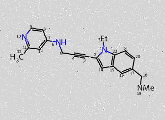 CCn1c(C#CCNc2ccnc(C)c2)cc2cc(CNC)ccc21